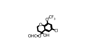 O=COC1(O)CCOc2c(OC(F)(F)F)cc(Cl)cc21